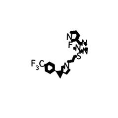 C/N=C(/c1cccnc1F)N(C)/C(=N\C)SCCCN1CC[C@]2(C[C@@H]2c2ccc(C(F)(F)F)cc2)C1